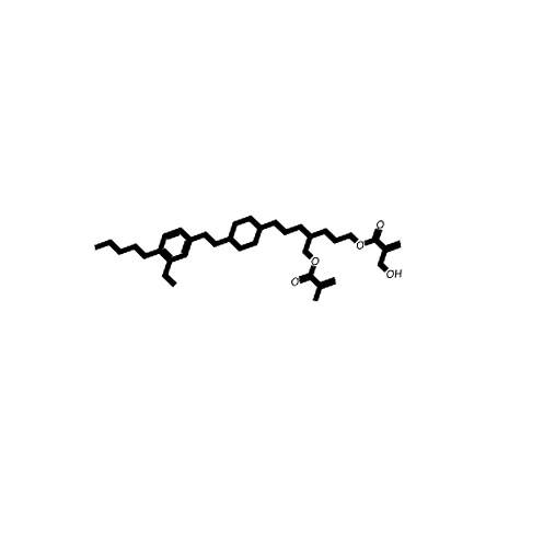 C=C(C)C(=O)OCC(CCCOC(=O)C(=C)CO)CCCC1CCC(CCc2ccc(CCCCC)c(CC)c2)CC1